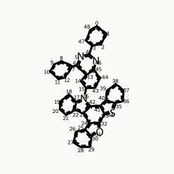 c1ccc(-c2nc(-c3ccccc3)c3cc(-n4c5ccccc5c5c6c7ccccc7oc6c6sc7ccccc7c6c54)ccc3n2)cc1